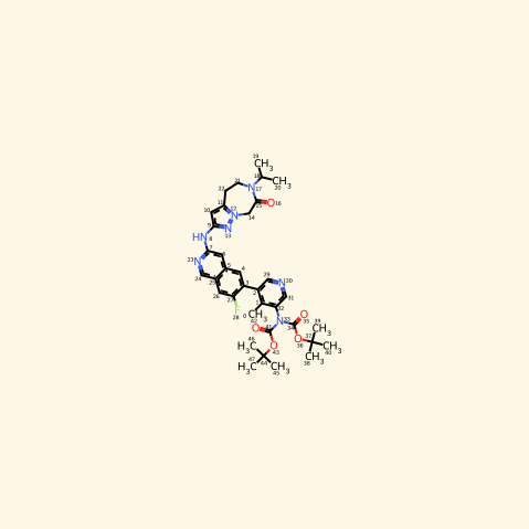 Cc1c(-c2cc3cc(Nc4cc5n(n4)CC(=O)N(C(C)C)CC5)ncc3cc2F)cncc1N(C(=O)OC(C)(C)C)C(=O)OC(C)(C)C